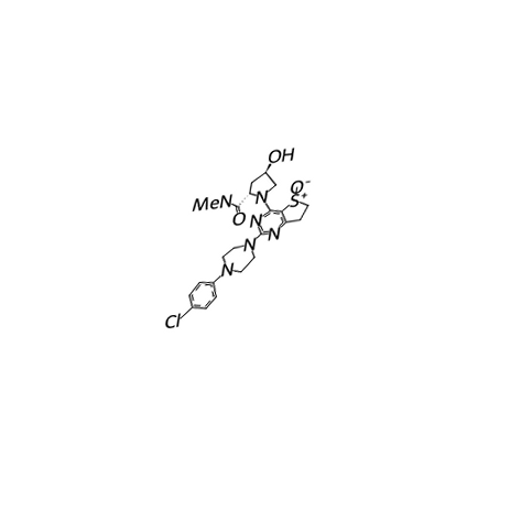 CNC(=O)[C@@H]1C[C@@H](O)CN1c1nc(N2CCN(c3ccc(Cl)cc3)CC2)nc2c1[S+]([O-])CC2